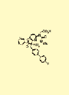 CC(C)(C)OC(=O)N(CC(=O)O)c1cccc(C(N)(Cc2ccc(-c3ccc(F)cc3)cc2)S(=O)(=O)c2cccnc2)n1